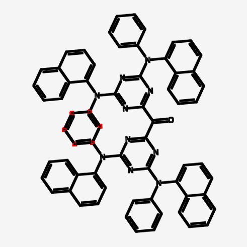 O=C(c1nc(N(c2ccccc2)c2cccc3ccccc23)nc(N(c2ccccc2)c2cccc3ccccc23)n1)c1nc(N(c2ccccc2)c2cccc3ccccc23)nc(N(c2ccccc2)c2cccc3ccccc23)n1